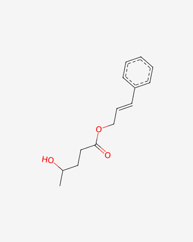 CC(O)CCC(=O)OCC=Cc1ccccc1